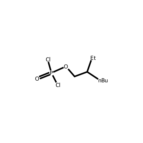 CCCCC(CC)COP(=O)(Cl)Cl